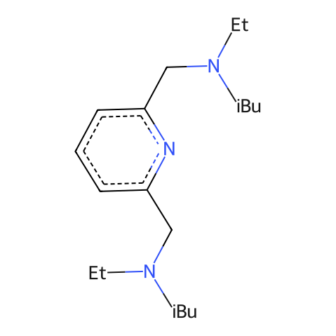 CCC(C)N(CC)Cc1cccc(CN(CC)C(C)CC)n1